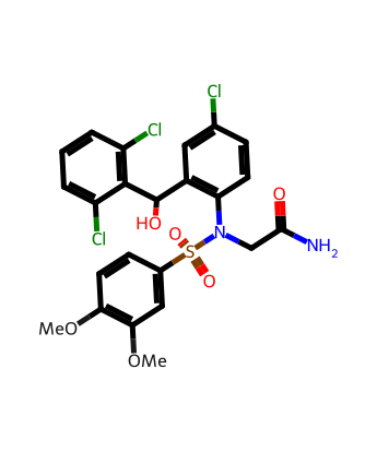 COc1ccc(S(=O)(=O)N(CC(N)=O)c2ccc(Cl)cc2C(O)c2c(Cl)cccc2Cl)cc1OC